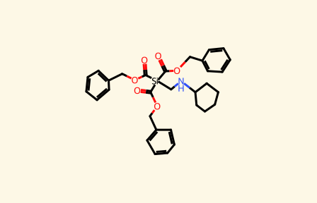 O=C(OCc1ccccc1)[Si](CNC1CCCCC1)(C(=O)OCc1ccccc1)C(=O)OCc1ccccc1